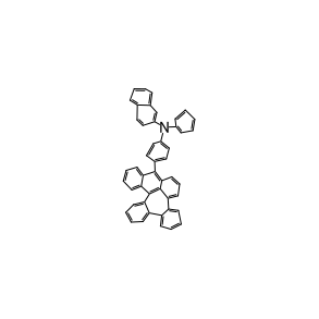 c1ccc(N(c2ccc(-c3c4ccccc4c4c5c(cccc35)-c3ccccc3-c3ccccc3-4)cc2)c2ccc3ccccc3c2)cc1